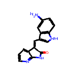 Nc1ccc2[nH]cc(C=C3C(=O)Nc4ncccc43)c2c1